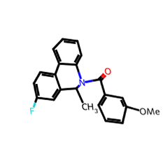 COc1cccc(C(=O)N2c3ccccc3-c3ccc(F)cc3C2C)c1